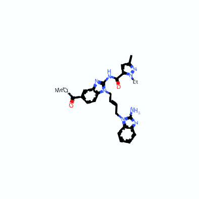 CCn1nc(C)cc1C(=O)Nc1nc2cc(C(=O)OC)ccc2n1CC=CCn1c(N)nc2ccccc21